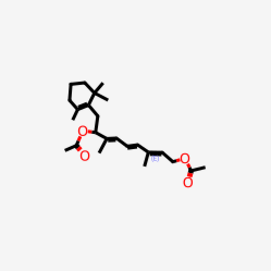 CC(=O)OC/C=C(\C)C=CC=C(C)C(CC1=C(C)CCCC1(C)C)OC(C)=O